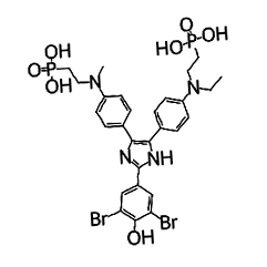 CCN(CCP(=O)(O)O)c1ccc(-c2[nH]c(-c3cc(Br)c(O)c(Br)c3)nc2-c2ccc(N(C)CCP(=O)(O)O)cc2)cc1